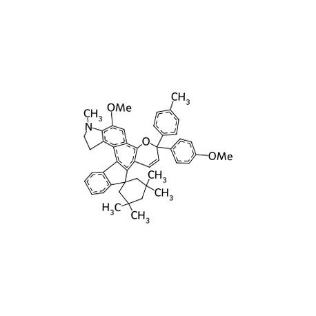 COc1ccc(C2(c3ccc(C)cc3)C=Cc3c4c(c5c6c(c(OC)cc5c3O2)N(C)CC6)-c2ccccc2C42CC(C)(C)CC(C)(C)C2)cc1